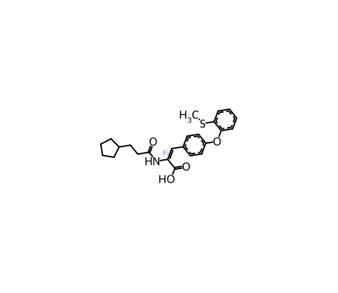 CSc1ccccc1Oc1ccc(/C=C(/NC(=O)CCC2CCCC2)C(=O)O)cc1